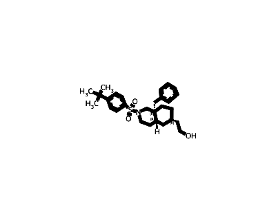 CC(C)(C)c1ccc(S(=O)(=O)N2CC[C@H]3C[C@H](CCO)CC[C@]3(Cc3ccccc3)C2)cc1